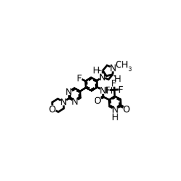 CN1C[C@H]2C[C@@H]1CN2c1cc(F)c(-c2cnc(N3CCOCC3)nc2)cc1NC(=O)c1c[nH]c(=O)cc1C(F)(F)F